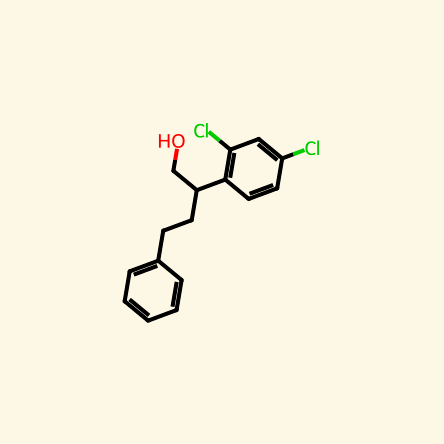 OCC(CCc1ccccc1)c1ccc(Cl)cc1Cl